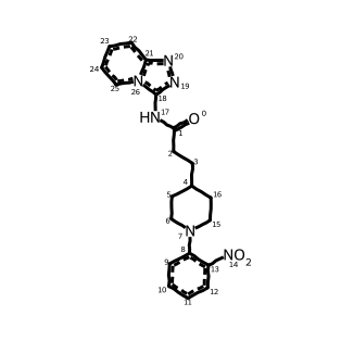 O=C(CCC1CCN(c2ccccc2[N+](=O)[O-])CC1)Nc1nnc2ccccn12